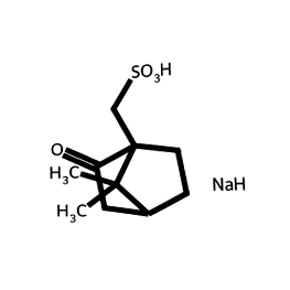 CC1(C)C2CCC1(CS(=O)(=O)O)C(=O)C2.[NaH]